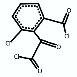 O=C(Cl)C(=O)c1c(Cl)cccc1C(=O)Cl